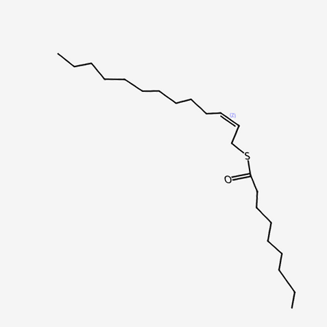 CCCCCCCCCC/C=C\CSC(=O)CCCCCCCC